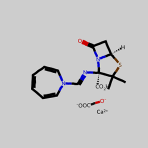 CC1(C)S[C@@H]2CC(=O)N2[C@@]1(N=CN1C=CC=CC=C1)C(=O)O.O=C([O-])[O-].[Ca+2]